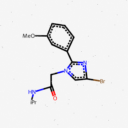 COc1cccc(-c2nc(Br)cn2CC(=O)NC(C)C)c1